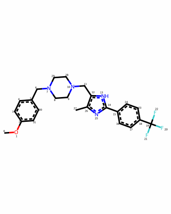 COc1ccc(CN2CCN(Cc3[nH]c(-c4ccc(C(F)(F)F)cc4)nc3C)CC2)cc1